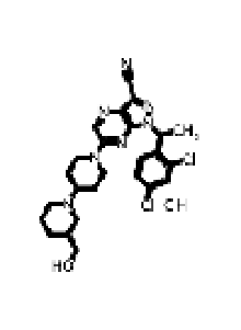 CC(c1ccc(Cl)cc1Cl)n1nc(C#N)c2ncc(N3CCC(N4CCCC(CO)C4)CC3)nc21.Cl